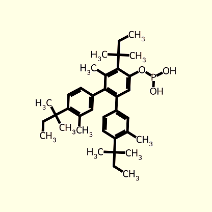 CCC(C)(C)c1ccc(-c2cc(OP(O)O)c(C(C)(C)CC)c(C)c2-c2ccc(C(C)(C)CC)c(C)c2)cc1C